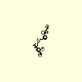 COCCOC(=O)c1cccc(CCN(C)CCCC(C)(c2ccc(C=O)c(OC)c2)C(C)C)c1